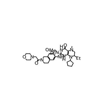 CCC1CN(C)C2=C(N[C@@](N)(Nc3cc4c(cc3OC)CN(C(=O)CN3CCOCC3)CC4)NC2=O)N1C1CCCC1